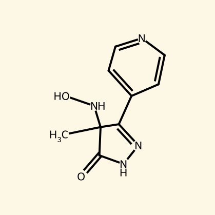 CC1(NO)C(=O)NN=C1c1ccncc1